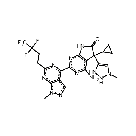 CN1C=C(C2(C3CC3)C(=O)Nc3nc(-c4nc(CCC(F)(F)C(F)(F)F)nc5c4cnn5C)nc(N)c32)NN1